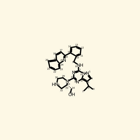 CC(C)c1cnn2c(NCc3ccccc3-c3ccc4ccccc4n3)nc(N3CCNC[C@H]3CO)nc12